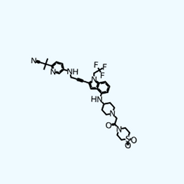 CC(C)(C#N)c1ccc(NCC#Cc2cc3c(NC4CCN(CC(=O)N5CCS(=O)(=O)CC5)CC4)cccc3n2CC(F)(F)F)cn1